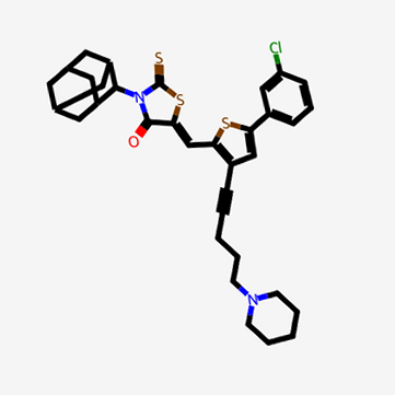 O=C1/C(=C/c2sc(-c3cccc(Cl)c3)cc2C#CCCCN2CCCCC2)SC(=S)N1C1C2CC3CC(C2)CC1C3